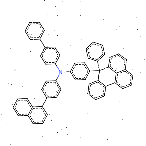 c1ccc(-c2ccc(N(c3ccc(-c4cccc5ccccc45)cc3)c3ccc(C4(c5ccccc5)c5ccccc5-c5cccc6cccc4c56)cc3)cc2)cc1